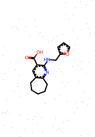 O=C(O)c1cc2c(nc1NCc1ccco1)CCCCC2